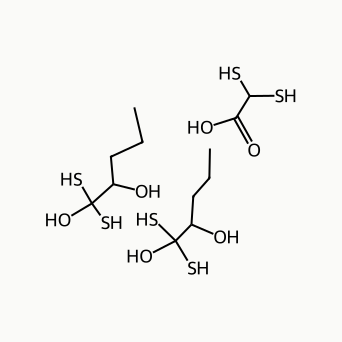 CCCC(O)C(O)(S)S.CCCC(O)C(O)(S)S.O=C(O)C(S)S